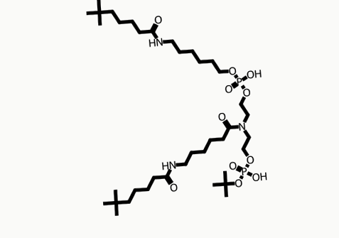 CC(C)(C)CCCCC(=O)NCCCCCCOP(=O)(O)OCCN(CCOP(=O)(O)OC(C)(C)C)C(=O)CCCCCNC(=O)CCCCC(C)(C)C